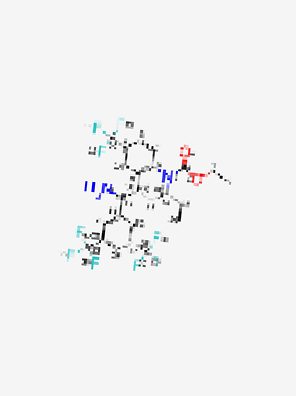 CCOC(=O)N1c2ccc(C(F)(F)F)cc2[C@@H]([C@H](N)c2cc(C(F)(F)F)cc(C(F)(F)F)c2)C[C@H]1CC